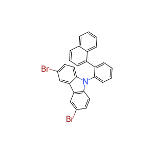 Brc1ccc2c(c1)c1cc(Br)ccc1n2-c1ccccc1-c1cccc2ccccc12